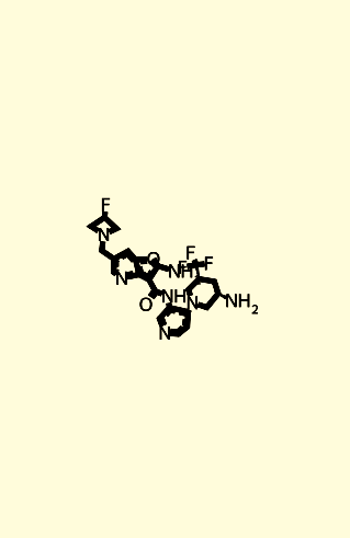 Nc1oc2cc(CN3CC(F)C3)cnc2c1C(=O)Nc1cnccc1N1C[C@H](N)C[C@H](C(F)(F)F)C1